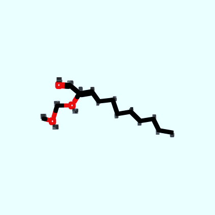 CCCCCCCCC=C(C=O)OCOC